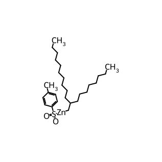 CCCCCCCCCCC(CCCCCCCC)[CH2][Zn][S](=O)(=O)c1ccc(C)cc1